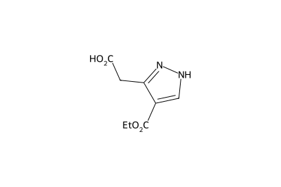 CCOC(=O)c1c[nH]nc1CC(=O)O